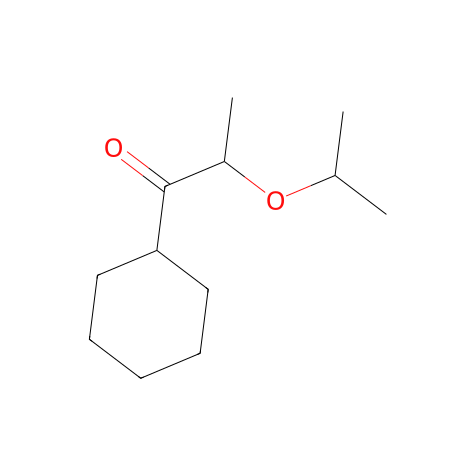 CC(C)OC(C)C(=O)C1CCCCC1